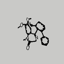 COc1cc2c(cc1OC)N(C)C(=O)CN=C2c1c(C#N)cccc1-c1ccccc1